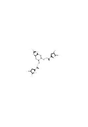 Bc1[nH]c(C(=O)NCC2Cc3nc(N)[nH]c3CC2CNC(=O)c2cc(Br)c(B)[nH]2)cc1Br